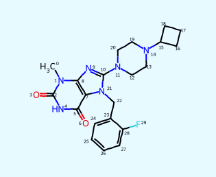 Cn1c(=O)[nH]c(=O)c2c1nc(N1CCN(C3CCC3)CC1)n2Cc1ccccc1F